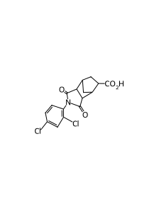 O=C(O)C1CC2CC1C1C(=O)N(c3ccc(Cl)cc3Cl)C(=O)C21